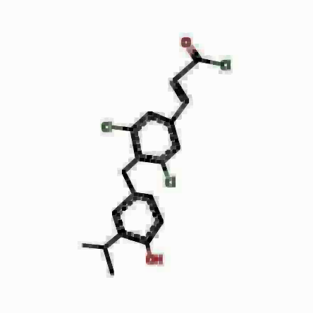 CC(C)c1cc(Cc2c(Cl)cc(/C=C/C(=O)Cl)cc2Cl)ccc1O